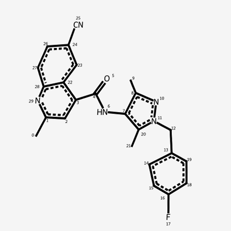 Cc1cc(C(=O)Nc2c(C)nn(Cc3ccc(F)cc3)c2C)c2cc(C#N)ccc2n1